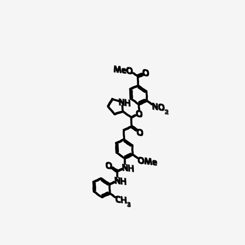 COC(=O)c1ccc(OC(C(=O)Cc2ccc(NC(=O)Nc3ccccc3C)c(OC)c2)C2CCCN2)c([N+](=O)[O-])c1